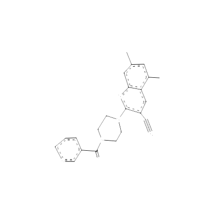 Cc1cc(C)c2cc(C#N)c(N3CCN(C(=O)c4cccnc4)CC3)nc2c1